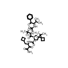 CC(C)[C@@H](NC(=O)N[C@H](C(=O)N1C[C@@]2(C[C@H]1C(=O)NC(CC1CCC1)C(=O)C(N)=O)C(C)(C)C21CCC1)C(C)(C)C)C(=O)c1ccccc1